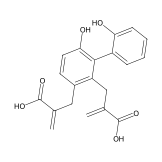 C=C(Cc1ccc(O)c(-c2ccccc2O)c1CC(=C)C(=O)O)C(=O)O